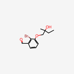 CCC(C)(O)COc1cccc(C=O)c1Br